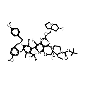 CC[C@H]1[C@H]2[C@H](C)Oc3nc(-c4c(F)c(N(Cc5ccc(OC)cc5)Cc5ccc(OC)cc5)c(F)c(C)c4C(F)(F)F)c(F)c4nc(OC[C@@]56CCCN5C[C@H](F)C6)nc(c34)N2CCN1C(=O)OC(C)(C)C